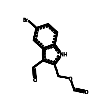 O=COCc1[nH]c2ccc(Br)cc2c1C=O